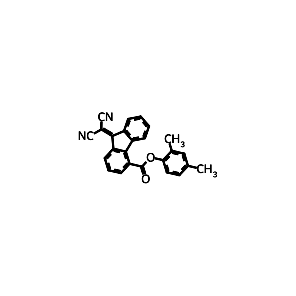 Cc1ccc(OC(=O)c2cccc3c2-c2ccccc2C3=C(C#N)C#N)c(C)c1